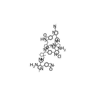 Cc1cc(N)c(-c2cnn(CC3(C)CCCC3C3c4ccc(-c5nc(Cl)cc(N)c5-c5cnn(CC6(C)CCCC6CC6(C)NC(=O)c7cc(-c8nc(C#N)ccc8-c8cnn(CC9(C)CCCC9)c8)ccc76)c5)cc4C(=O)N3C)c2)c(-c2ccc3c(c2)C(=O)N(C)C3)n1